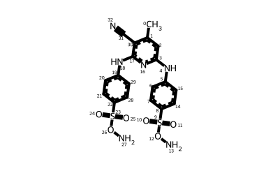 Cc1cc(Nc2ccc(S(=O)(=O)ON)cc2)nc(Nc2ccc(S(=O)(=O)ON)cc2)c1C#N